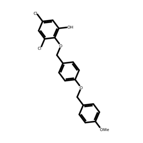 COc1ccc(COc2ccc(COc3c(O)cc(Cl)cc3Cl)cc2)cc1